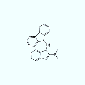 CP(C)C1=Cc2ccccc2[CH]1[Hf][CH]1c2ccccc2-c2ccccc21